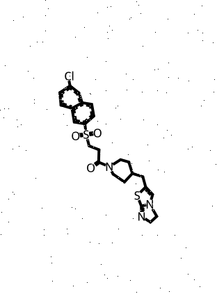 O=C(CCS(=O)(=O)c1ccc2cc(Cl)ccc2c1)N1CCC(CC2=CN3CCN=C3S2)CC1